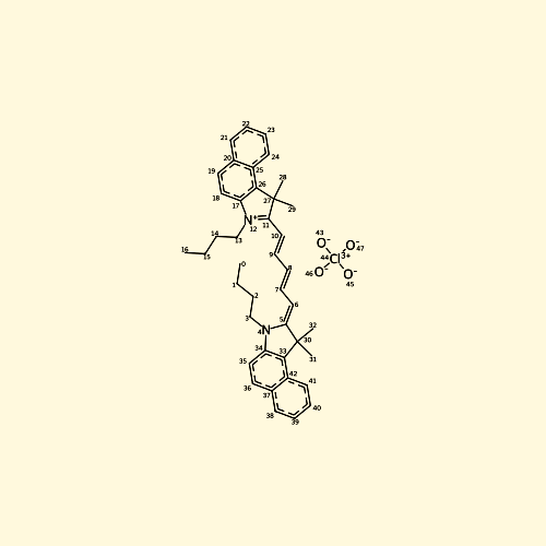 CCCCN1\C(=C/C=C/C=C/C2=[N+](CCCC)c3ccc4ccccc4c3C2(C)C)C(C)(C)c2c1ccc1ccccc21.[O-][Cl+3]([O-])([O-])[O-]